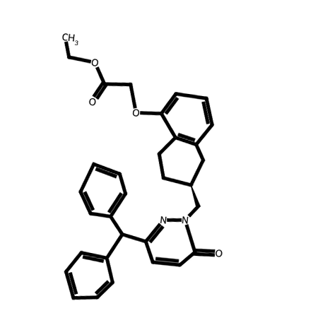 CCOC(=O)COc1cccc2c1CC[C@H](Cn1nc(C(c3ccccc3)c3ccccc3)ccc1=O)C2